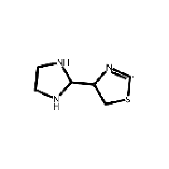 [C]1=NC(C2NCCN2)CS1